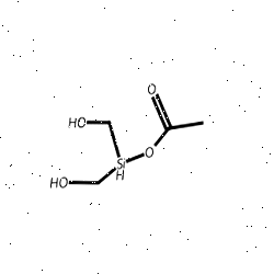 CC(=O)O[SiH](CO)CO